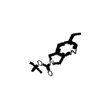 CCc1cnc2c(c1)CN(C(=O)OC(C)(C)C)C2